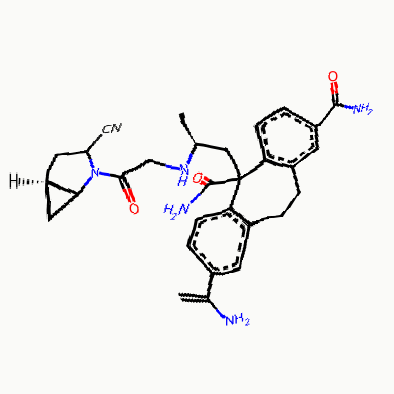 C=C(N)c1ccc2c(c1)CCc1cc(C(N)=O)ccc1C2(C[C@H](C)NCC(=O)N1C(C#N)C[C@@H]2CC21)C(N)=O